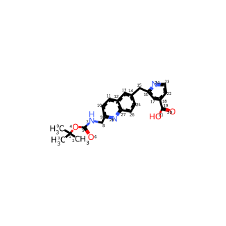 CC(C)(C)OC(=O)NCc1ccc2cc(Cc3cc(C(=O)O)ccn3)ccc2n1